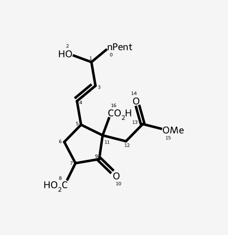 CCCCCC(O)C=CC1CC(C(=O)O)C(=O)C1(CC(=O)OC)C(=O)O